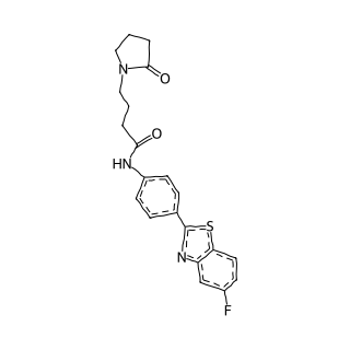 O=C(CCCN1CCCC1=O)Nc1ccc(-c2nc3cc(F)ccc3s2)cc1